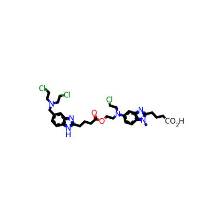 Cn1c(CCCC(=O)O)nc2cc(N(CCCl)CCOC(=O)CCCc3nc4cc(CN(CCCl)CCCl)ccc4[nH]3)ccc21